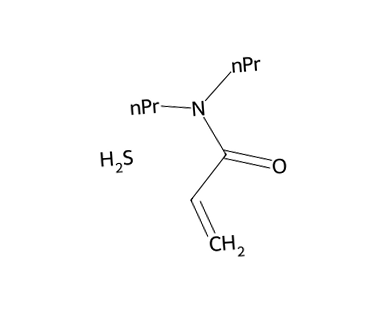 C=CC(=O)N(CCC)CCC.S